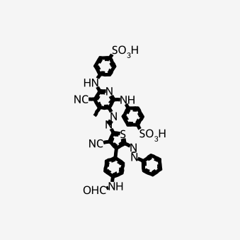 Cc1c(C#N)c(Nc2ccc(S(=O)(=O)O)cc2)nc(Nc2ccc(S(=O)(=O)O)cc2)c1N=Nc1sc(N=Nc2ccccc2)c(-c2ccc(NC=O)cc2)c1C#N